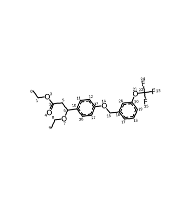 CCOC(=O)CC(OCC)c1ccc(OCc2cccc(OC(F)(F)F)c2)cc1